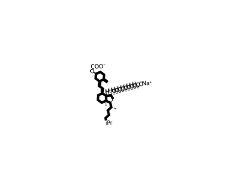 C=C1CC[C@H](OC(=O)[O-])C/C1=C/C=C1\CCC[C@]2(C)[C@@H]([C@H](C)CCCC(C)C)CC[C@@H]12.O.O.O.O.O.O.O.O.O.O.[Na+]